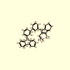 C/C=C\c1c(CC)c2ccccc2n1-c1cccc(-c2cccc(-n3c4ccccc4c4ccccc43)c2)c1